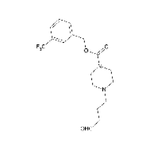 O=CCCCN1CCN(C(=O)OCc2cccc(C(F)(F)F)c2)CC1